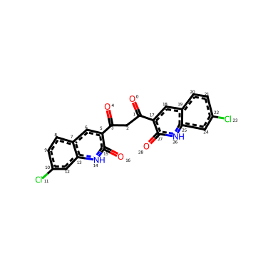 O=C(CC(=O)c1cc2ccc(Cl)cc2[nH]c1=O)c1cc2ccc(Cl)cc2[nH]c1=O